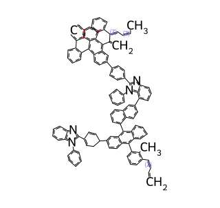 C=C/C=C\c1cccc(-c2c3ccccc3c(-c3cccc4cc(-c5cccc6nc(-c7ccc(-c8ccc9c(-c%10ccccc%10-c%10ccccc%10)c%10ccccc%10c(C(=C)/C(=C\C=C/C)c%10ccccc%10)c9c8)cc7)n(-c7ccccc7)c56)ccc34)c3cc(C4C=CC(c5nc6ccccc6n5-c5ccccc5)=CC4)ccc23)c1C